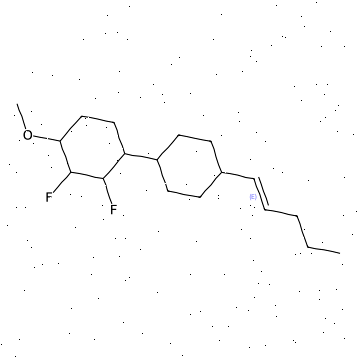 CCC/C=C/C1CCC(C2CCC(OC)C(F)C2F)CC1